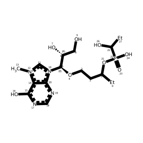 CCC(CCO[C@H]([C@H](O)CO)n1c[n+](C)c2c(O)ncnc21)OP(=O)(O)C(O)CC